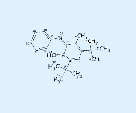 CC1=C(C(C)(C)C)C=C(C(C)(C)C)C(O)C1=Nc1ccccc1